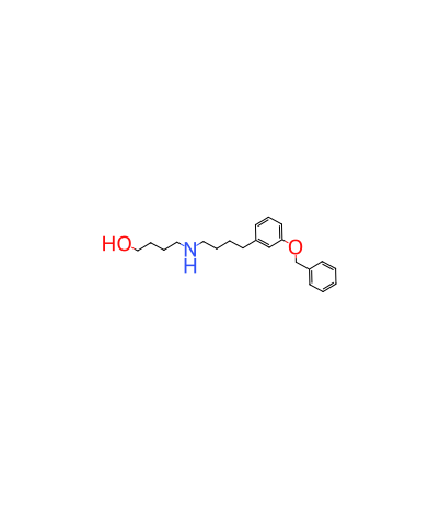 OCCCCNCCCCc1cccc(OCc2ccccc2)c1